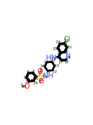 COc1cccc(S(=O)(=O)N[C@H]2CC[C@@H](Nc3ccnc4cc(Cl)ccc34)CC2)c1